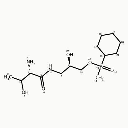 CC(O)[C@H](N)C(=O)NC[C@@H](O)COP(C)(=O)C1CCCCC1